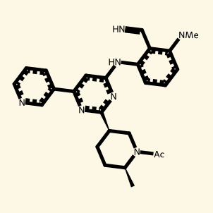 CNc1cccc(Nc2cc(-c3cccnc3)nc([C@@H]3CC[C@H](C)N(C(C)=O)C3)n2)c1C=N